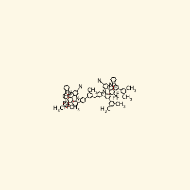 Cc1cc(C)cc(-c2ccc3c(c2)c2ccccc2n3-c2cc(C#N)cc(-n3c4ccc(Cc5cc(C)cc(-c6ccc7c8ccccc8n(-c8cc(C#N)cc(-n9c%10ccccc%10c%10ccc(-c%11cc(C)cc(C)c%11)cc%109)c8-c8ccc(C(F)(F)F)cc8C(F)(F)F)c7c6)c5)cc4c4cc(-c5cc(C)cc(C)c5)ccc43)c2-c2ccc(C(F)(F)F)cc2C(F)(F)F)c1